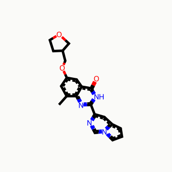 Cc1cc(OCC2CCOC2)cc2c(=O)[nH]c(-c3cc4cccn4cn3)nc12